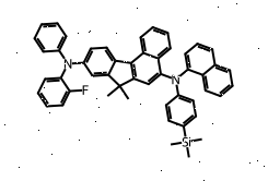 CC1(C)c2cc(N(c3ccccc3)c3ccccc3F)ccc2-c2c1cc(N(c1ccc([Si](C)(C)C)cc1)c1cccc3ccccc13)c1ccccc21